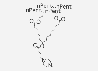 CCCCCC(CCCCC)CCOC(=O)CCCCCCCC(CCCCCC(=O)OCCC(CCCCC)CCCCC)OC(=O)CCCN1CCN(C)CC1